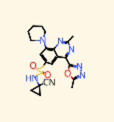 Cc1nc(-c2nnc(C)o2)c2cc(S(=O)(=O)NC3(C#N)CC3)cc(N3CCCCC3)c2n1